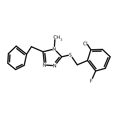 Cn1c(Cc2ccccc2)nnc1SCc1c(F)cccc1Cl